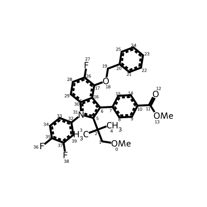 COCC(C)(C)c1c(-c2ccc(C(=O)OC)cc2)c2c(OCc3ccccc3)c(F)ccc2n1-c1ccc(F)c(F)c1